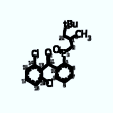 CC(C[P](=O)c1ccccc1C(=O)c1c(Cl)cccc1Cl)CC(C)(C)C